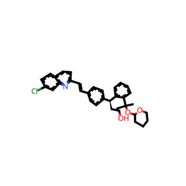 CC(C)(OC1CCCCO1)c1ccccc1[C@@H](CCO)c1ccc(C=Cc2ccc3ccc(Cl)cc3n2)cc1